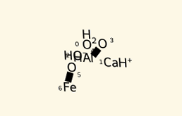 O.[CaH+].[OH-].[O]=[AlH].[O]=[Fe]